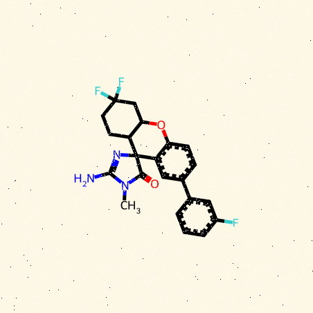 CN1C(=O)C2(N=C1N)c1cc(-c3cccc(F)c3)ccc1OC1CC(F)(F)CCC12